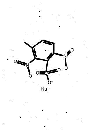 Cc1ccc([N+](=O)[O-])c(S(=O)(=O)[O-])c1[N+](=O)[O-].[Na+]